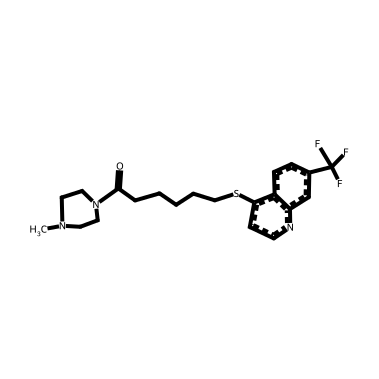 CN1CCN(C(=O)CCCCCSc2ccnc3cc(C(F)(F)F)ccc23)CC1